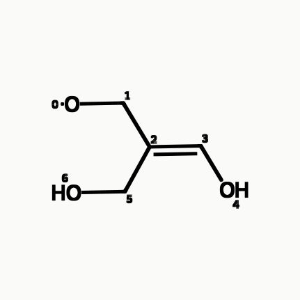 [O]C/C(=C/O)CO